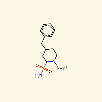 NS(=O)(=O)C1CC(Cc2ccccc2)CCN1C(=O)O